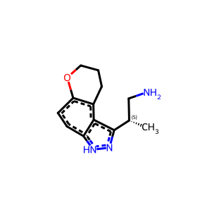 C[C@@H](CN)c1n[nH]c2ccc3c(c12)CCCO3